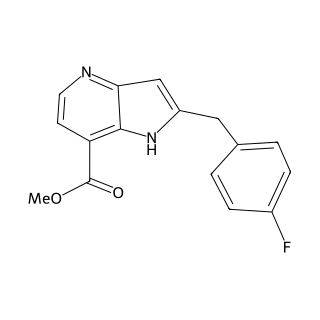 COC(=O)c1ccnc2cc(Cc3ccc(F)cc3)[nH]c12